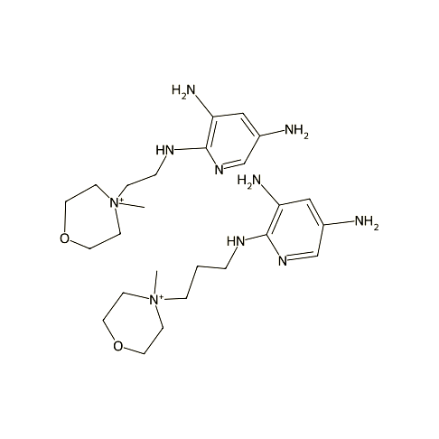 C[N+]1(CCCNc2ncc(N)cc2N)CCOCC1.C[N+]1(CCNc2ncc(N)cc2N)CCOCC1